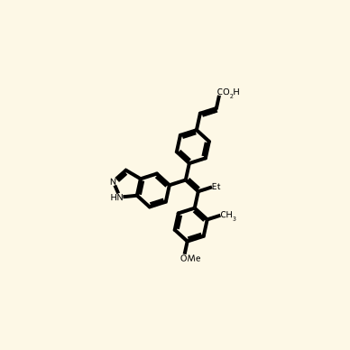 CCC(=C(c1ccc(C=CC(=O)O)cc1)c1ccc2[nH]ncc2c1)c1ccc(OC)cc1C